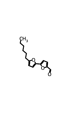 CCCCCCc1ccc(-c2ccc(C=O)o2)o1